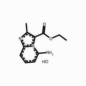 CCOC(=O)c1c(C)nc2cccc(N)n12.Cl